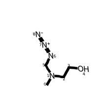 CN(CCO)CN=[N+]=[N-]